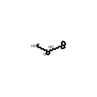 O=C(O)CCCCCCC1C(=O)CCC1/C=C/C(O)CCCCC1CCCC2CCCCC12